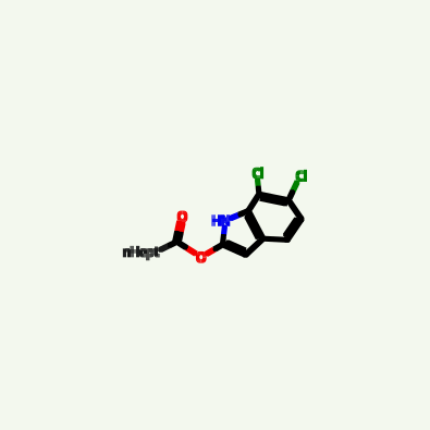 CCCCCCCC(=O)Oc1cc2ccc(Cl)c(Cl)c2[nH]1